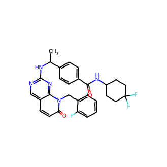 CC(Nc1ncc2ccc(=O)n(Cc3c(F)cccc3F)c2n1)c1ccc(C(=O)NC2CCC(F)(F)CC2)cc1